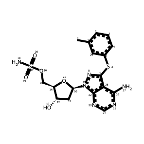 Cc1cccc(Sc2nn([C@H]3C[C@H](O)[C@@H](COS(N)(=O)=O)O3)c3ncnc(N)c23)c1